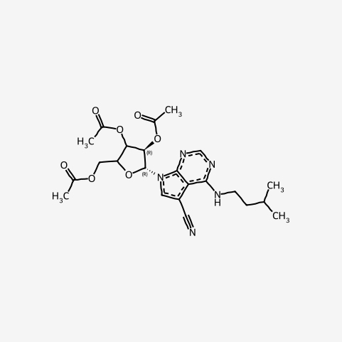 CC(=O)OCC1O[C@@H](n2cc(C#N)c3c(NCCC(C)C)ncnc32)[C@H](OC(C)=O)C1OC(C)=O